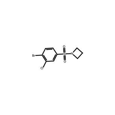 O=S(=O)(c1ccc(Br)c(Cl)c1)N1CCC1